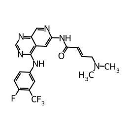 CN(C)CC=CC(=O)Nc1cc2c(Nc3ccc(F)c(C(F)(F)F)c3)ncnc2cn1